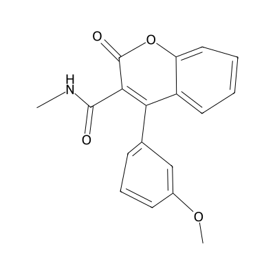 CNC(=O)c1c(-c2cccc(OC)c2)c2ccccc2oc1=O